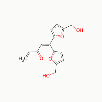 C=CC(=O)C=C(c1ccc(CO)o1)c1ccc(CO)o1